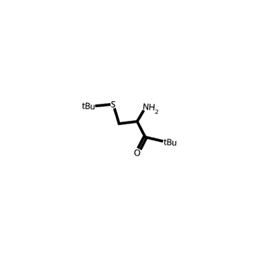 CC(C)(C)SCC(N)C(=O)C(C)(C)C